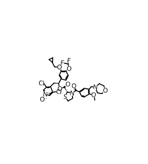 COc1ccc(C(=O)N2CCS[C@H]2C(=O)O[C@@H](Cc2c(Cl)c[n+]([O-])cc2Cl)c2ccc(OC(F)F)c(OCC3CC3)c2)cc1CN1CCOCC1